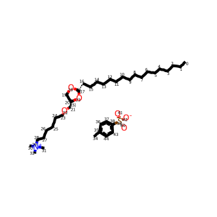 CCCCCCCCCCCCCCCCC[C@H]1OC[C@H](COCCCCCC[N+](C)(C)C)O1.Cc1ccc(S(=O)(=O)[O-])cc1